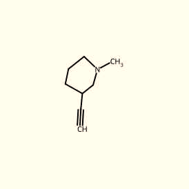 C#CC1CCCN(C)C1